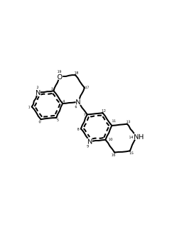 c1cnc2c(c1)N(c1cnc3c(c1)CNCC3)CCO2